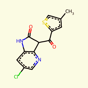 Cc1csc(C(=O)C2C(=O)Nc3cc(Cl)cnc32)c1